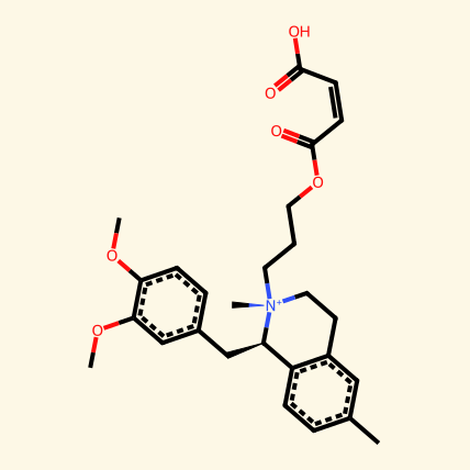 COc1ccc(C[C@@H]2c3ccc(C)cc3CC[N@@+]2(C)CCCOC(=O)/C=C\C(=O)O)cc1OC